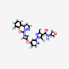 Cc1nn(-c2cc(OC3CN(C(=O)N4N=CCC4c4cccc(F)c4)C3)c(F)cn2)c(C)c1C(=O)NC1COC1